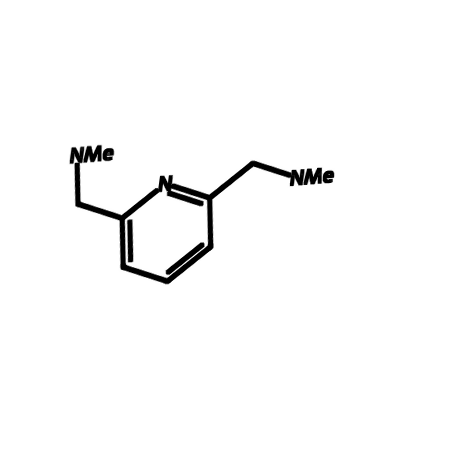 CNCc1cccc(CNC)n1